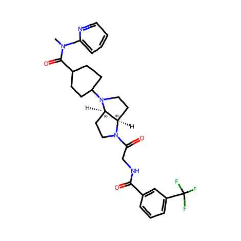 CN(C(=O)C1CCC(N2CC[C@@H]3[C@H]2CCN3C(=O)CNC(=O)c2cccc(C(F)(F)F)c2)CC1)c1ccccn1